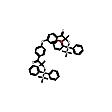 CC(C)(O[Si](c1ccccc1)(c1ccccc1)[Si](C)(C)C)C(=O)c1ccc(Oc2ccc(C(=O)C(C)(C)O[Si](c3ccccc3)(c3ccccc3)[Si](C)(C)C)cc2)cc1